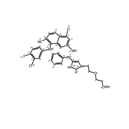 COCCOCCN1C=C([C@@H](Nc2cc(Cl)c3ncc(C#N)c(Nc4ccc(F)c(Cl)c4)c3c2)c2cccnc2)NN1